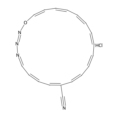 Cl.N#Cc1cccccccccccconnncccc1